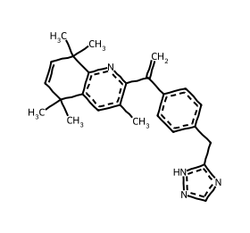 C=C(c1ccc(Cc2ncn[nH]2)cc1)c1nc2c(cc1C)C(C)(C)C=CC2(C)C